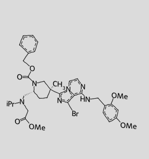 COC(=O)CN(C[C@H]1CC[C@](C)(c2nc(Br)c3c(NCc4ccc(OC)cc4OC)nccn23)CN1C(=O)OCc1ccccc1)C(C)C